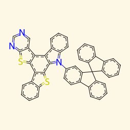 c1ccc2c(c1)-c1ccccc1C21c2ccccc2-c2ccc(-n3c4ccccc4c4c5c6cncnc6sc5c5c6ccccc6sc5c43)cc21